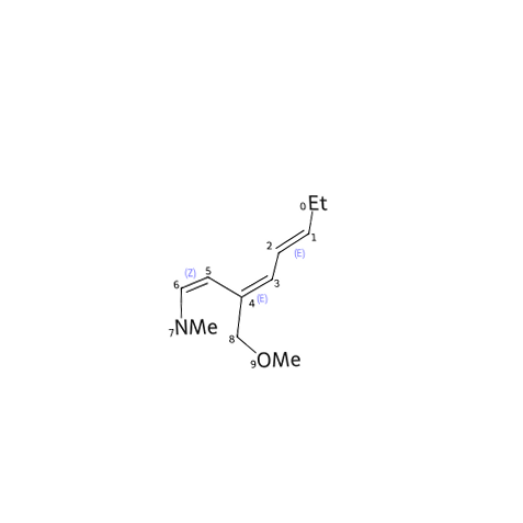 CC/C=C/C=C(\C=C/NC)COC